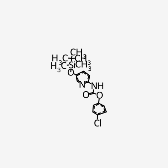 CC(C)(C)[Si](C)(C)Oc1ccc(NC(=O)Oc2ccc(Cl)cc2)nc1